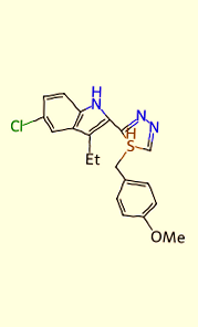 CCc1c(C2=NN=C[SH]2Cc2ccc(OC)cc2)[nH]c2ccc(Cl)cc12